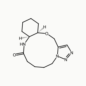 O=C1CCCCn2nncc2CO[C@@H]2CCCC[C@@H]2N1